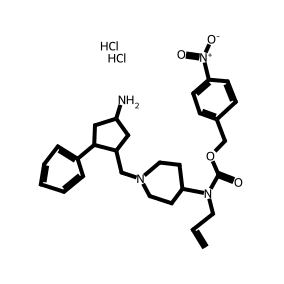 C=CCN(C(=O)OCc1ccc([N+](=O)[O-])cc1)C1CCN(CC2CC(N)CC2c2ccccc2)CC1.Cl.Cl